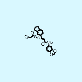 O=C(/C=C/c1ccc2c(c1NC(=O)CCl)CCC2)Nc1ccc2c(c1)OCO2